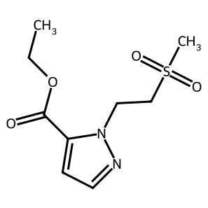 CCOC(=O)c1ccnn1CCS(C)(=O)=O